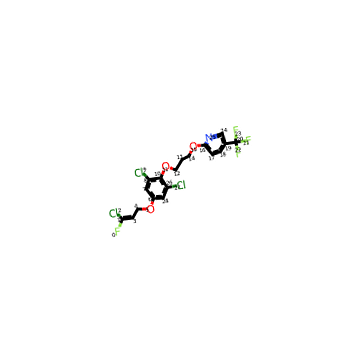 FC(Cl)=CCOc1cc(Cl)c(OCCCOc2ccc(C(F)(F)F)cn2)c(Cl)c1